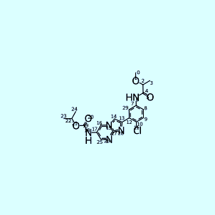 COC(C)C(=O)Nc1ccc(Cl)c(-c2cn3cc(NC(=O)OC(C)C)cnc3n2)c1